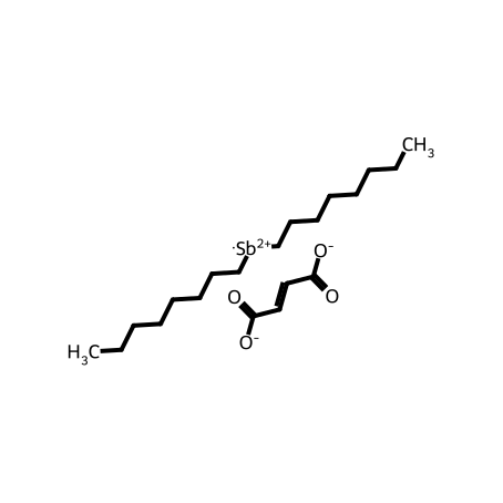 CCCCCCC[CH2][Sb+2][CH2]CCCCCCC.O=C([O-])C=CC(=O)[O-]